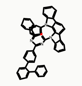 c1ccc(-c2nc(-c3ccc(-c4ccccc4-c4ccccc4)cc3)nc(-n3c4ccccc4c4ccc5c6ccccc6n(-c6ccccc6)c5c43)n2)cc1